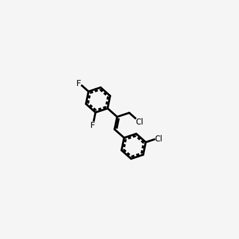 Fc1ccc(C(=Cc2cccc(Cl)c2)CCl)c(F)c1